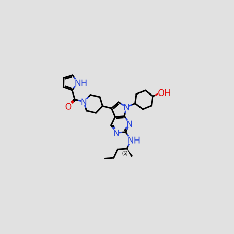 CCC[C@H](C)Nc1ncc2c(C3CCN(C(=O)c4ccc[nH]4)CC3)cn(C3CCC(O)CC3)c2n1